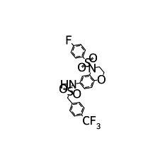 O=S(=O)(Cc1ccc(C(F)(F)F)cc1)Nc1ccc2c(c1)N(S(=O)(=O)c1ccc(F)cc1)CCO2